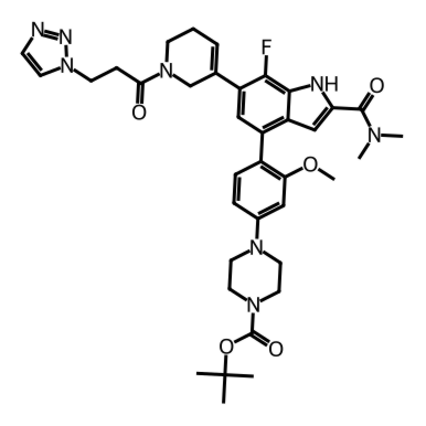 COc1cc(N2CCN(C(=O)OC(C)(C)C)CC2)ccc1-c1cc(C2=CCCN(C(=O)CCn3ccnn3)C2)c(F)c2[nH]c(C(=O)N(C)C)cc12